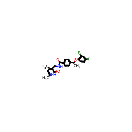 Cc1cc(C)c(CNC(=O)c2ccc([C@@H](C)Oc3ccc(F)cc3F)cc2)c(=O)[nH]1